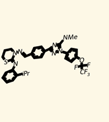 CNc1nc(-c2ccc(C=NN3CCCSC3=Nc3ccccc3C(C)C)cc2)nn1-c1ccc(OC(F)(F)C(F)(F)F)cc1